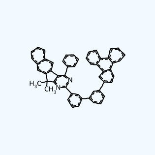 CC1(C)c2cc3ccccc3cc2-c2c(-c3ccccc3)nc(-c3cccc(-c4cccc(-c5ccc6c7ccccc7c7ccccc7c6c5)c4)c3)nc21